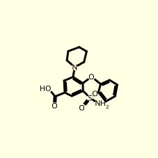 NS(=O)(=O)c1cc(C(=O)O)cc(N2CCCCC2)c1Oc1ccccc1